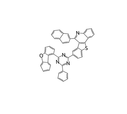 c1ccc(-c2nc(-c3ccc4sc5c6ccccc6nc(-c6ccc7ccccc7c6)c5c4c3)nc(-c3cccc4oc5ccccc5c34)n2)cc1